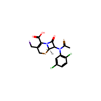 CC(=S)N(c1cc(Cl)ccc1Cl)C1C(=O)N2C(C(=O)O)=C(CI)CS[C@H]12